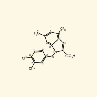 O=C(O)c1cc2c(C(F)(F)F)cc(C(F)(F)F)cc2n1Cc1ccc(Cl)c(Cl)c1